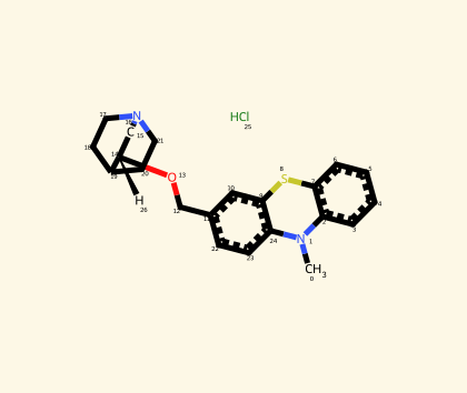 CN1c2ccccc2Sc2cc(CO[C@H]3CN4CCC3CC4)ccc21.Cl